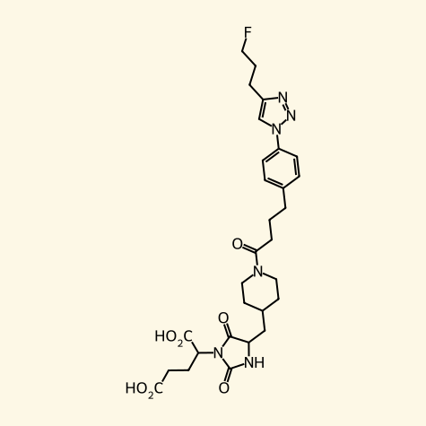 O=C(O)CCC(C(=O)O)N1C(=O)NC(CC2CCN(C(=O)CCCc3ccc(-n4cc(CCCF)nn4)cc3)CC2)C1=O